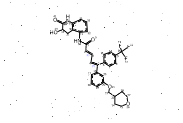 O=C(/C=C/C=C(\c1ccc(C(F)(F)F)cc1)c1cccc(OCC2CCOCC2)c1)Nc1cccc2c1CC(O)C(=O)N2